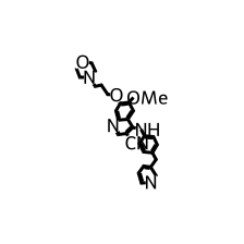 COc1cc2c(Nc3ccc(Cc4cccnc4)cc3)c(C#N)cnc2cc1OCCCN1CCOCC1